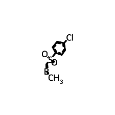 CB=CS(=O)(=O)c1ccc(Cl)cc1